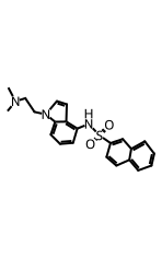 CN(C)CCn1ccc2c(NS(=O)(=O)c3ccc4ccccc4c3)cccc21